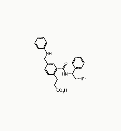 CC(C)CC(NC(=O)c1cc(CNc2ccccc2)ccc1CCC(=O)O)c1ccccc1